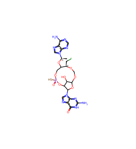 C[C@@H](OC1COP(=O)(S)OC2C(O)C(OCO[C@@H]1CF)OC2n1cnc2c(=O)[nH]c(N)nc21)n1cnc2c(N)ncnc21